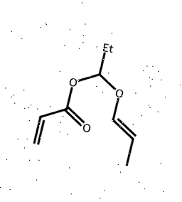 C=CC(=O)OC(CC)OC=CC